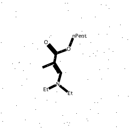 CCCCCOC(=O)C(C)=CN(CC)CC